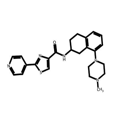 CN1CCN(c2cccc3c2CC(NC(=O)c2csc(-c4ccncc4)n2)CC3)CC1